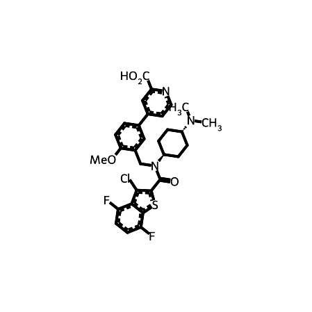 COc1ccc(-c2ccnc(C(=O)O)c2)cc1CN(C(=O)c1sc2c(F)ccc(F)c2c1Cl)[C@H]1CC[C@H](N(C)C)CC1